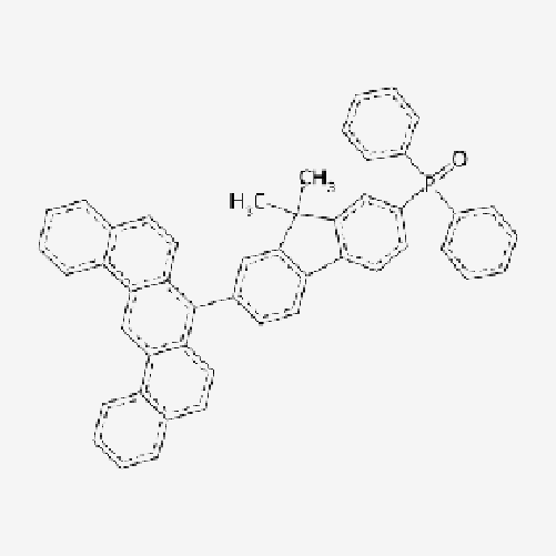 CC1(C)c2cc(-c3c4ccc5ccccc5c4cc4c3ccc3ccccc34)ccc2-c2ccc(P(=O)(c3ccccc3)c3ccccc3)cc21